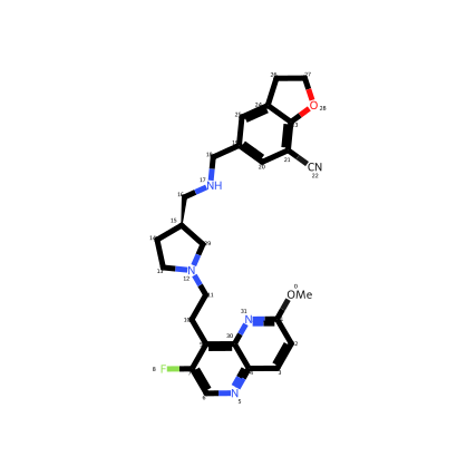 COc1ccc2ncc(F)c(CCN3CC[C@@H](CNCc4cc(C#N)c5c(c4)CCO5)C3)c2n1